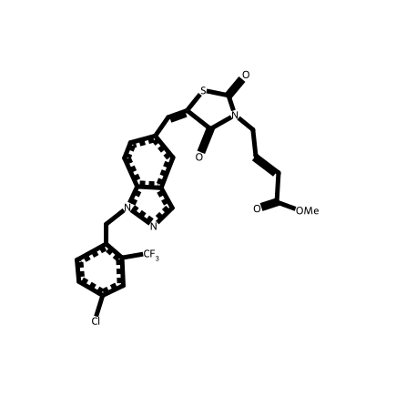 COC(=O)C=CCN1C(=O)SC(=Cc2ccc3c(cnn3Cc3ccc(Cl)cc3C(F)(F)F)c2)C1=O